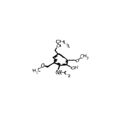 COCc1cc(COC)c(COC)c(O)c1N